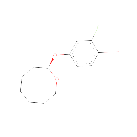 Oc1ccc(O[C@@H]2CCCCCCO2)cc1F